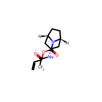 C=CCOC(=O)N1[C@@H]2CC[C@H]1C[C@@H](NC(=O)C(F)(F)F)C2